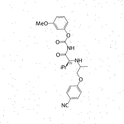 COc1cccc(OC(=O)NC(=O)[C@@H](NC(C)COc2ccc(C#N)cc2)C(C)C)c1